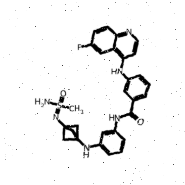 CS(N)(=O)=NC12CC(Nc3cccc(NC(=O)c4cccc(Nc5ccnc6ccc(F)cc56)c4)c3)(C1)C2